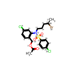 CC(=O)OCc1ccc(Cl)cc1N(CCC[C@@H](C)Br)S(=O)(=O)c1ccc(Cl)cc1